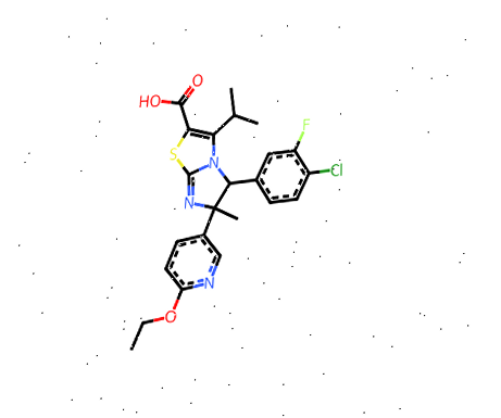 CCOc1ccc(C2(C)N=C3SC(C(=O)O)=C(C(C)C)N3C2c2ccc(Cl)c(F)c2)cn1